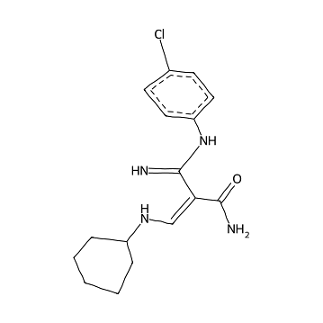 N=C(Nc1ccc(Cl)cc1)/C(=C\NC1CCCCC1)C(N)=O